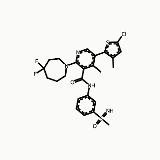 Cc1cc(Cl)sc1-c1cnc(N2CCCC(F)(F)CC2)c(C(=O)Nc2cccc(S(C)(=N)=O)c2)c1C